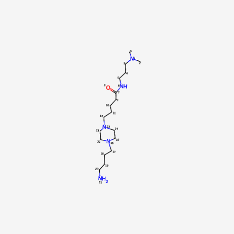 CN(C)CCCNC(=O)CCCCN1CCN(CCCCN)CC1